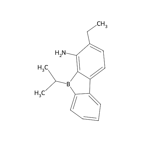 CCc1ccc2c(c1N)B(C(C)C)c1ccccc1-2